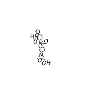 O=C1CCC(N2Cc3cc(N4CCOC(CO)C4)ccc3C2=O)C(=O)N1